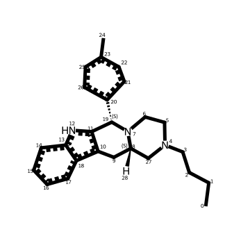 CCCCN1CCN2[C@@H](Cc3c([nH]c4ccccc34)[C@@H]2c2ccc(C)cc2)C1